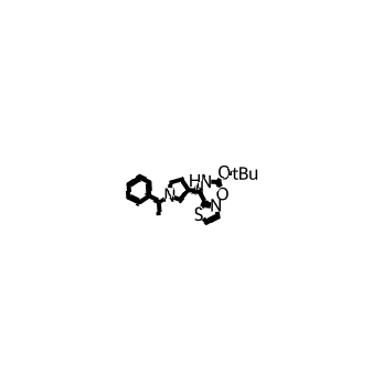 CC(c1ccccc1)N1CCC([C@@H](NC(=O)OC(C)(C)C)c2nccs2)C1